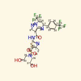 Cc1nc(NC(=O)c2cnn3c(C(F)(F)F)cc(-c4ccc(C(F)(F)F)cc4)nc23)sc1S(=O)(=O)N(CCO)CCO